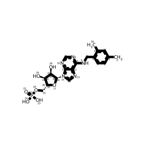 Cc1ccc(CNc2ncnc3c2ncn3[C@@H]2O[C@H](COP(=O)(O)O)[C@@H](O)[C@H]2O)c(C)c1